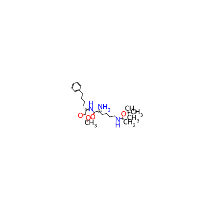 C=C(NCCCC[C@H](N)C(=O)N[C@@H](CCCCc1ccccc1)C(=O)OC)OC(C)(C)C